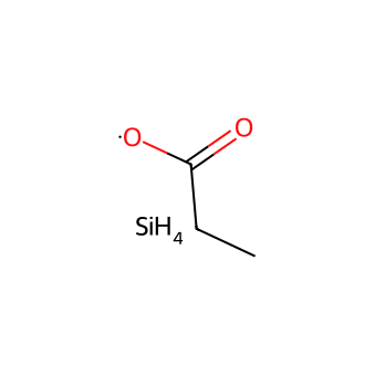 CCC([O])=O.[SiH4]